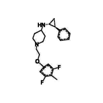 Cc1c(F)cc(OCCN2CCC(N[C@@H]3C[C@H]3c3ccccc3)CC2)cc1F